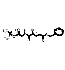 CC(C)(C)OC(=O)CNC(=O)C(N)CCC(=O)OCc1ccccc1